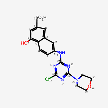 O=S(=O)(O)c1cc(O)c2ccc(Nc3nc(Cl)nc(N4CCOCC4)n3)cc2c1